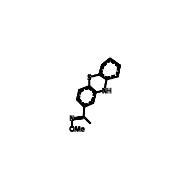 CO/N=C(\C)c1ccc2c(c1)Nc1ccccc1S2